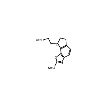 COc1nc2ccc3c(c2o1)[C@@H](CCNC(C)=O)CC3